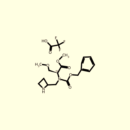 COC[C@@H](C(=O)OC)N(CC1CCN1)C(=O)OCc1ccccc1.O=C(O)C(F)(F)F